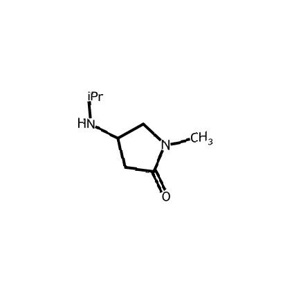 CC(C)NC1CC(=O)N(C)C1